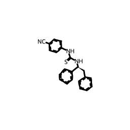 N#Cc1ccc(NC(=S)N[C@@H](Cc2ccccc2)c2ccccc2)cc1